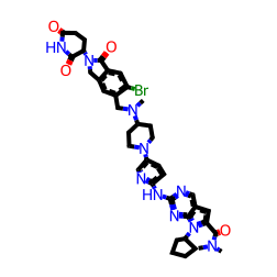 CN(C)C(=O)c1cc2cnc(Nc3ccc(N4CCC(N(C)Cc5cc6c(cc5Br)C(=O)N(C5CCC(=O)NC5=O)C6)CC4)cn3)nc2n1C1CCCC1